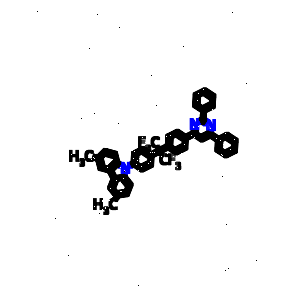 Cc1ccc2c(c1)c1cc(C)ccc1n2-c1ccc(C(c2ccc(-c3cc(-c4ccccc4)nc(-c4ccccc4)n3)cc2)(C(F)(F)F)C(F)(F)F)cc1